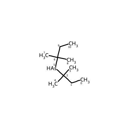 CCC(C)(C)[AsH]C(C)(C)CC